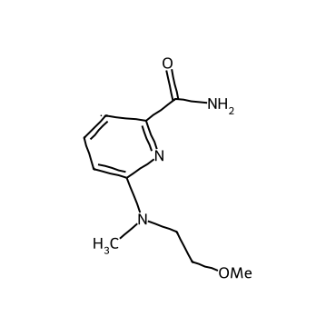 COCCN(C)c1cc[c]c(C(N)=O)n1